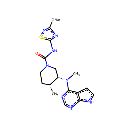 COc1nsc(NC(=O)N2CC[C@@H](C)[C@@H](N(C)c3ncnc4[nH]ccc34)C2)n1